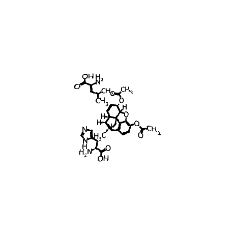 CC(=O)Oc1ccc2c3c1O[C@H]1[C@@H](OC(C)=O)C=C[C@H]4[C@@H](C2)N(C)CC[C@@]341.CC(C)CC(N)C(=O)O.N[C@@H](Cc1cnc[nH]1)C(=O)O